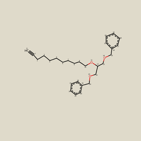 C#CCCCCCCCCCOC(COCc1ccccc1)COCc1ccccc1